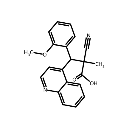 COc1ccccc1C(c1ccnc2ccccc12)C(C)(C#N)C(=O)O